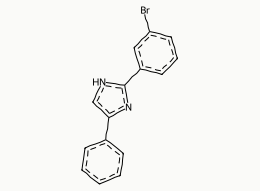 Brc1cccc(-c2nc(-c3ccccc3)c[nH]2)c1